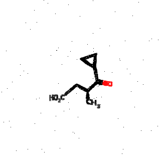 C[C@@H](CC(=O)O)C(=O)C1CC1